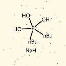 CCCCP(O)(O)(O)CCCC.[NaH]